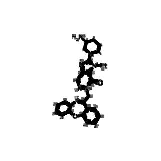 CCn1c(N2CCC[C@H](N)C2)nc2cnn(CC3=Nc4ccccc4Oc4ccccc43)c(=O)c21